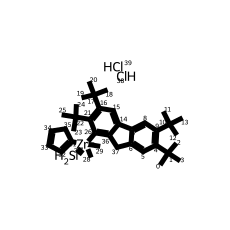 CC(C)(C)c1cc2c(cc1C(C)(C)C)-c1cc(C(C)(C)C)c(C(C)(C)C)[c]([Zr]([CH3])([CH3])(=[SiH2])[C]3=CC=CC3)c1C2.Cl.Cl